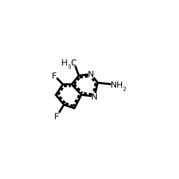 Cc1nc(N)nc2cc(F)cc(F)c12